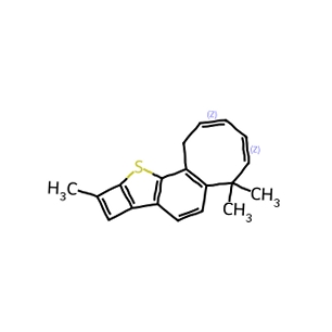 CC1=Cc2c1sc1c3c(ccc21)C(C)(C)/C=C\C=C/C3